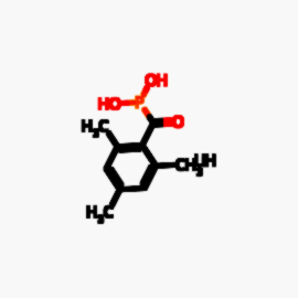 Cc1cc(C)c(C(=O)P(O)O)c(C)c1.[LiH]